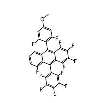 COc1cc(F)c(-c2c3cccc(F)c3c(-c3c(F)c(F)c(F)c(F)c3F)c3c(F)c(F)c(F)c(F)c23)c(F)c1